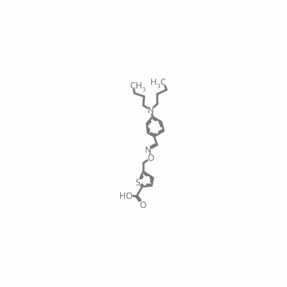 CCCCN(CCCC)c1ccc(/C=N/OCc2ccc(C(=O)O)s2)cc1